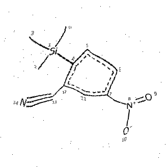 C[Si](C)(C)c1ccc([N+](=O)[O-])cc1C#N